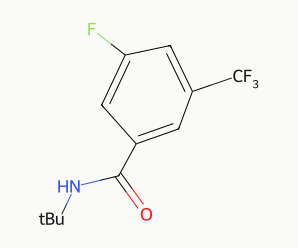 CC(C)(C)NC(=O)c1cc(F)cc(C(F)(F)F)c1